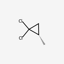 C[C@H]1CC1(Cl)Cl